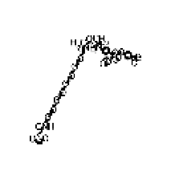 C[C@H](NC(=O)CCOCCOCCOCCOCCOCCOCCOCCOCCNC(=O)CCN1C(=O)C=CC1=O)C(=O)N[C@@H](C)C(=O)Nc1ccc(C(OC(=O)Oc2ccc([N+](=O)[O-])cc2)C(=O)N2CCOCC2)cc1